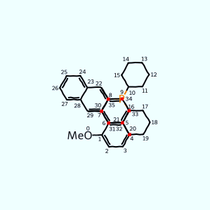 COc1ccccc1-c1c(P(C2CCCCC2)C2CCCCC2)c2c3ccccc3c1c1ccccc12